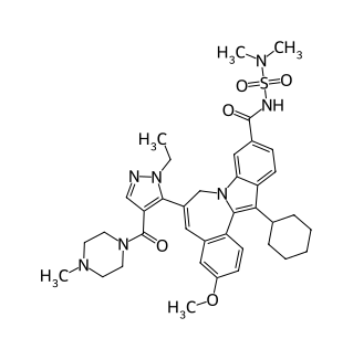 CCn1ncc(C(=O)N2CCN(C)CC2)c1C1=Cc2cc(OC)ccc2-c2c(C3CCCCC3)c3ccc(C(=O)NS(=O)(=O)N(C)C)cc3n2C1